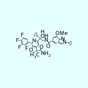 COc1cc(C(=O)NC[C@](O)(c2cc3c(c(-c4cc(F)c(F)c(F)c4F)n2)OC[C@]3(C)C(N)=O)C2CC2)cc2cn(C3CC3)nc12